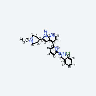 CN1CCC(c2cc3c(-c4cccc(NCc5ccccc5Cl)n4)ccnc3[nH]2)CC1